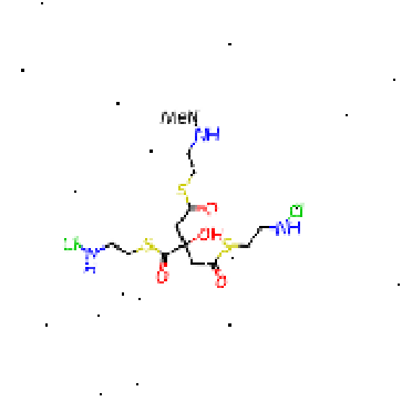 CNNCCSC(=O)CC(O)(CC(=O)SCCNCl)C(=O)SCCNCl